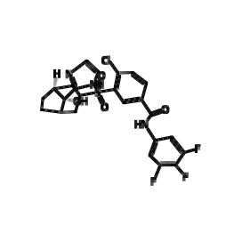 O=C(Nc1cc(F)c(F)c(F)c1)c1ccc(Cl)c(S(=O)(=O)C2CC3CC[C@@H](C2)[C@@]3(O)c2ncc[nH]2)c1